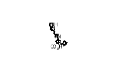 O=C(O)[C@H](c1ccccc1)N1CC[C@@H](n2cc(CCc3ccc4c(n3)NCCC4)cn2)C1